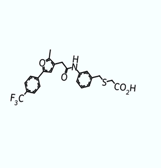 Cc1oc(-c2ccc(C(F)(F)F)cc2)cc1CC(=O)Nc1cccc(CSCC(=O)O)c1